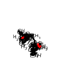 COc1ccc(C2=CN3C(=O)c4cc(OC)c(OCCCCCOc5cc6c(cc5OC)C(=O)N5C=C(c7ccc(O)cc7)C[C@H]5C(O[Si](C)(C)C(C)(C)C)N6C(=O)OCC(Cl)(Cl)Cl)cc4N(C(=O)OCC(Cl)(Cl)Cl)C(O[Si](C)(C)C(C)(C)C)[C@@H]3C2)cc1